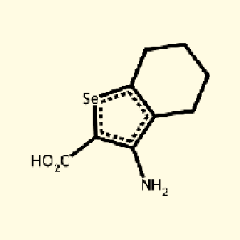 Nc1c(C(=O)O)[se]c2c1CCCC2